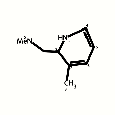 CNCC1NC=CC=C1C